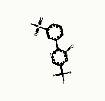 CS(=O)(=O)c1cccc(-c2ncc(C(F)(F)F)cc2Cl)c1